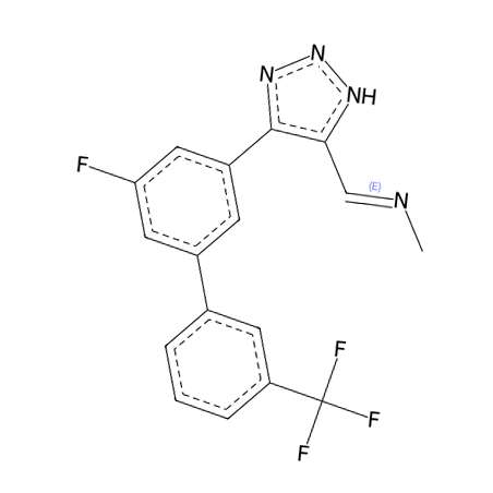 C/N=C/c1[nH]nnc1-c1cc(F)cc(-c2cccc(C(F)(F)F)c2)c1